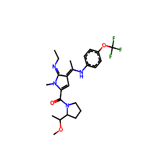 CC/N=C1\C(=C(/C)Nc2ccc(OC(F)(F)F)cc2)C=C(C(=O)N2CCCC2C(C)OC)N1C